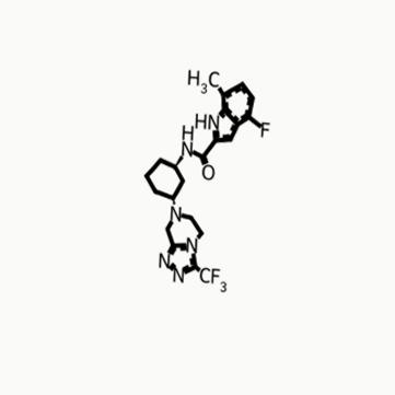 Cc1ccc(F)c2cc(C(=O)N[C@@H]3CCC[C@@H](N4CCn5c(nnc5C(F)(F)F)C4)C3)[nH]c12